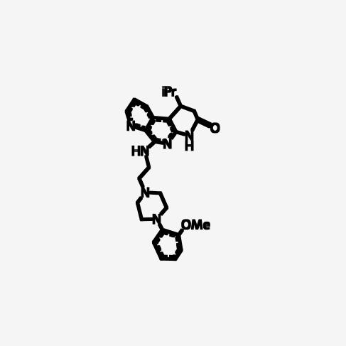 COc1ccccc1N1CCN(CCNc2nc3c(c4cccnc24)C(C(C)C)CC(=O)N3)CC1